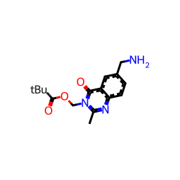 Cc1nc2ccc(CN)cc2c(=O)n1COC(=O)C(C)(C)C